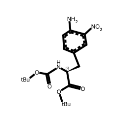 CC(C)(C)OC(=O)N[C@@H](Cc1ccc(N)c([N+](=O)[O-])c1)C(=O)OC(C)(C)C